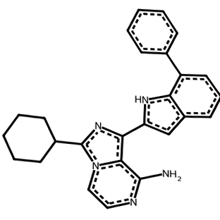 Nc1nccn2c(C3CCCCC3)nc(-c3cc4cccc(-c5ccccc5)c4[nH]3)c12